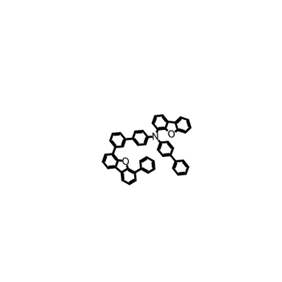 c1ccc(-c2ccc(N(c3ccc(-c4cccc(-c5cccc6c5oc5c(-c7ccccc7)cccc56)c4)cc3)c3cccc4c3oc3ccccc34)cc2)cc1